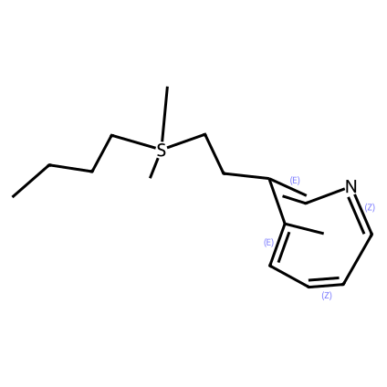 CCCCS(C)(C)CCC1=C\N=C/C=C\C=C\1C